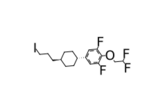 Fc1cc([C@H]2CC[C@H](CCCI)CC2)cc(F)c1OCC(F)F